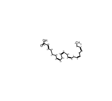 CC/C=C\C/C=C\C/C=C\C/C=C\C/C=C\CCC/C=C/C(=O)O